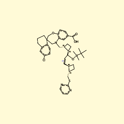 CC(C)(C)[Si](C)(C)OC(/C=C\[C@H]1CC[C@@H]1CSc1ncccn1)[C@@H]1CC[C@H]1CN1CC2(CCCc3cc(Cl)ccc32)COc2ccc(C(=O)O)cc21